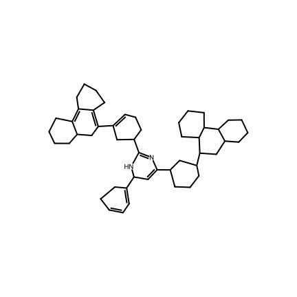 C1=CCCC(C2C=C(C3CCCC(C4CC5CCCCC5C5CCCCC45)C3)N=C(C3CCC=C(C4=C5CCCCC5=C5CCCCC5C4)C3)N2)=C1